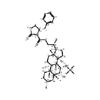 CC[C@H]1[C@@H](O[Si](C)(C)C)[C@@H]2[C@H](CC[C@]3(C)[C@@H]([C@H](C)CCC(=O)N4C(=O)OC[C@@H]4Cc4ccccc4)CC[C@@H]23)[C@@]2(C)CC[C@@H](C)C[C@@H]12